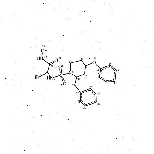 CC(C)C(NS(=O)(=O)N1CCC(Oc2ccccc2)CC1Cc1ccccc1)C(=O)NO